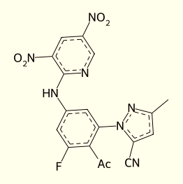 CC(=O)c1c(F)cc(Nc2ncc([N+](=O)[O-])cc2[N+](=O)[O-])cc1-n1nc(C)cc1C#N